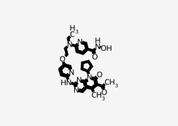 CCN(CCOc1ccc(Nc2ncc3c(C)c(C(C)=O)c(=O)n(C4CCCC4)c3n2)nc1)c1ccc(C(=O)NO)cn1